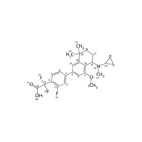 COc1cc(-c2ccc(C(F)(F)C(=O)O)c(F)c2)cc2c1C(N(C)C1CC1)CCC2(C)C